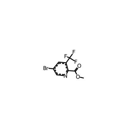 COC(=O)c1ncc(Br)cc1C(F)(F)F